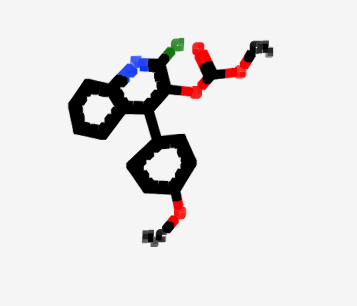 COC(=O)Oc1c(Cl)nc2ccccc2c1-c1ccc(OC)cc1